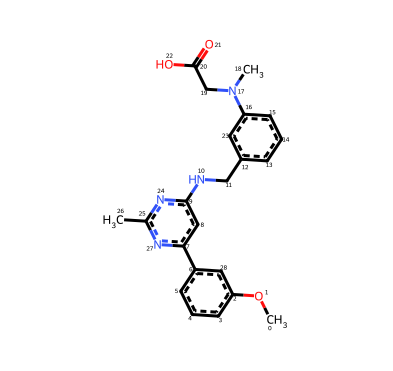 COc1cccc(-c2cc(NCc3cccc(N(C)CC(=O)O)c3)nc(C)n2)c1